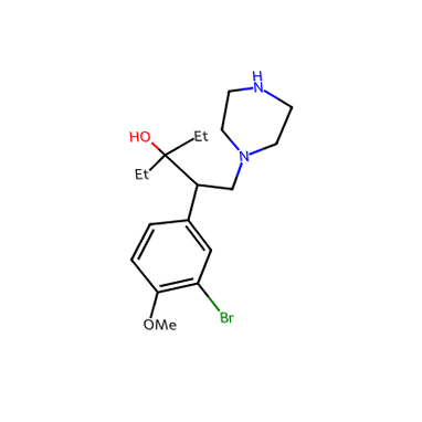 CCC(O)(CC)C(CN1CCNCC1)c1ccc(OC)c(Br)c1